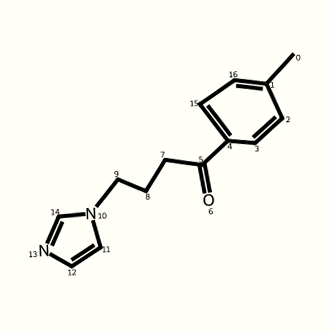 Cc1ccc(C(=O)CCCn2ccnc2)cc1